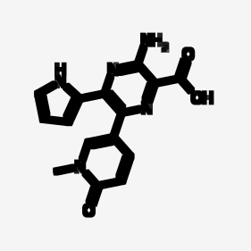 Cn1cc(-c2nc(C(=O)O)c(N)nc2-c2ccc[nH]2)ccc1=O